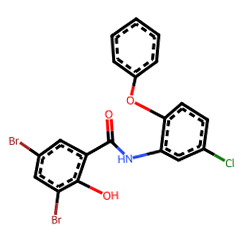 O=C(Nc1cc(Cl)ccc1Oc1ccccc1)c1cc(Br)cc(Br)c1O